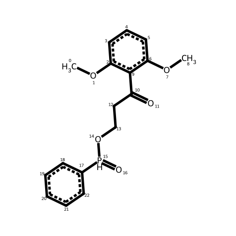 COc1cccc(OC)c1C(=O)CCO[PH](=O)c1ccccc1